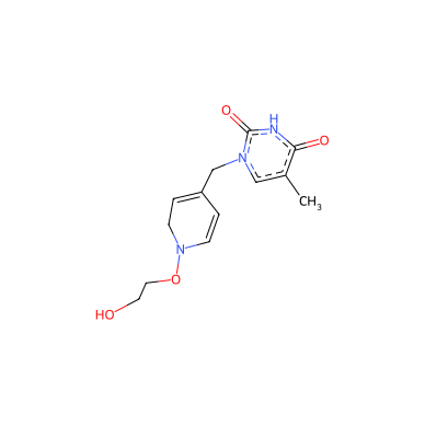 Cc1cn(CC2=CCN(OCCO)C=C2)c(=O)[nH]c1=O